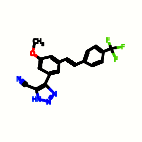 COc1cc(/C=C/c2ccc(C(F)(F)F)cc2)cc(-c2nn[nH]c2C#N)c1